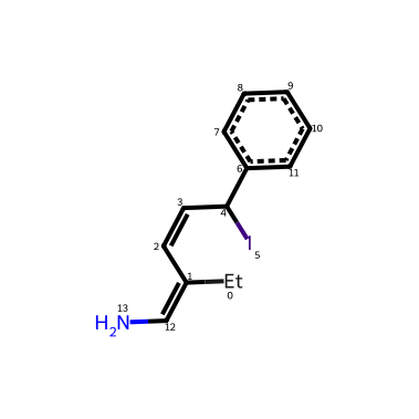 CCC(/C=C\C(I)c1ccccc1)=C/N